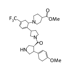 COC(=O)C1CCN(C2CC(C(F)(F)F)=CC=C2C2CCN(C(=O)[C@@H]3CNCC3C3=CC=C(OC)CC3)C2)CC1